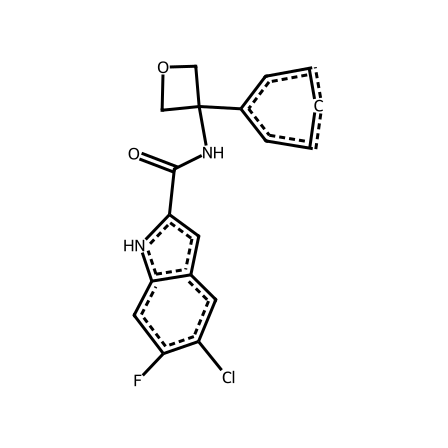 O=C(NC1(c2ccccc2)COC1)c1cc2cc(Cl)c(F)cc2[nH]1